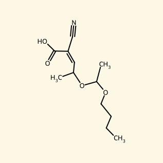 CCCCOC(C)OC(C)C=C(C#N)C(=O)O